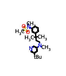 CN(CCC(C)(C)c1cccc(N(C)S(C)(=O)=O)c1)c1cncc(C(C)(C)C)c1